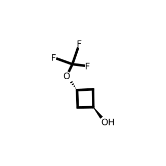 O[C@H]1C[C@H](OC(F)(F)F)C1